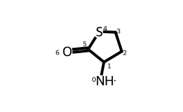 [NH]C1CCSC1=O